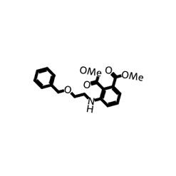 COC(=O)c1cccc(NCCOCc2ccccc2)c1C(=O)OC